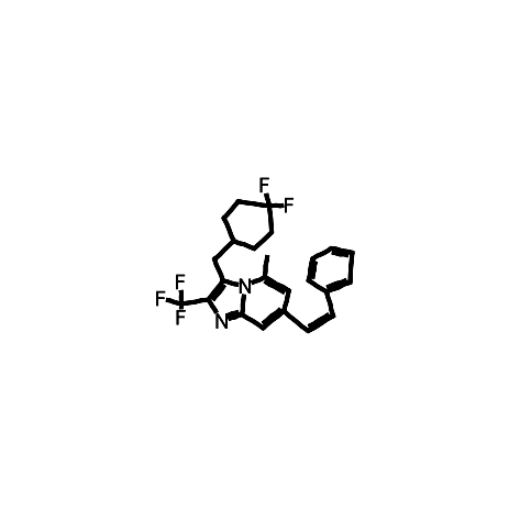 Cc1cc(/C=C\c2ccccc2)cc2nc(C(F)(F)F)c(CC3CCC(F)(F)CC3)n12